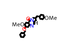 COc1ccc(C=C2C[C@H]3C=Nc4cc(OCc5ccccc5)c(OC)cc4C(=O)N3C2)cc1